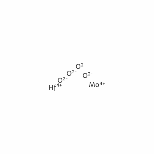 [Hf+4].[Mo+4].[O-2].[O-2].[O-2].[O-2]